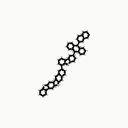 c1ccc2cc(-c3c4ccccc4c(-c4ccc5sc6c(-c7ccc8cc9sc%10cc%11c(cc%10c9cc8c7)oc7ccccc7%11)cccc6c5c4)c4ccccc34)ccc2c1